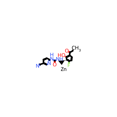 CCC(=O)c1ccc(F)c([C@@H]2C[C@@H]2NC(=O)Nc2ccc(C#N)cn2)c1O.[Zn]